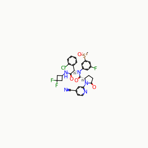 C[S+]([O-])c1cc(F)cc(N(C(=O)[C@@H]2CCC(=O)N2c2cc(C#N)ccn2)[C@H](C(=O)NC2CC(F)(F)C2)c2ccccc2Cl)c1